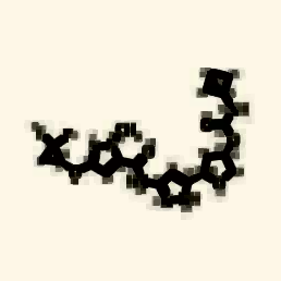 Cn1nc(O[C@H]2CC2(F)F)cc1C(=O)Nc1cc([C@H]2C[C@@H](OC(=O)NC34CC(C3)C4)CO2)[nH]n1